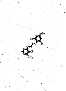 CCCCc1cc(CC)c(OCCNc2ncnc(C)c2Cl)c(CC)c1